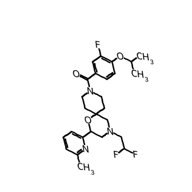 Cc1cccc(C2CN(CC(F)F)CC3(CCN(C(=O)c4ccc(OC(C)C)c(F)c4)CC3)O2)n1